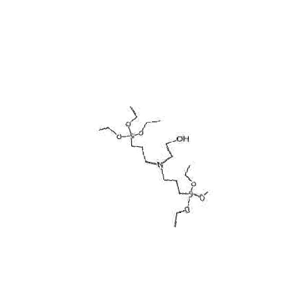 CCO[Si](CCCN(CCO)CCC[Si](OCC)(OCC)OCC)(OC)OCC